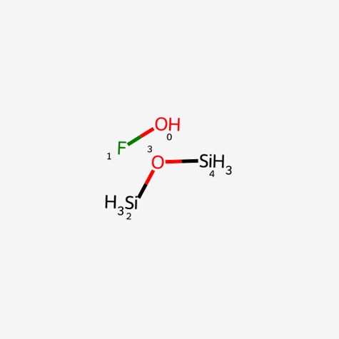 OF.[SiH3]O[SiH3]